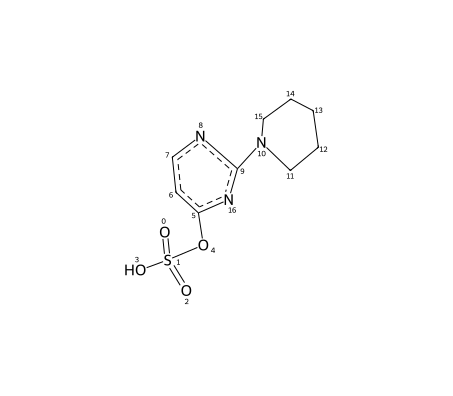 O=S(=O)(O)Oc1ccnc(N2CCCCC2)n1